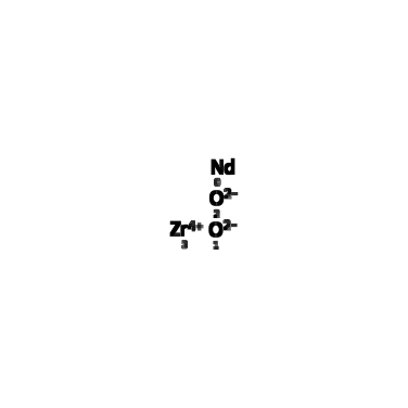 [Nd].[O-2].[O-2].[Zr+4]